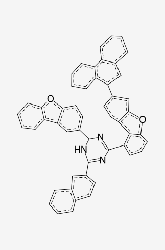 c1ccc2cc(C3=NC(c4cccc5oc6cc(-c7cc8ccccc8c8ccccc78)ccc6c45)=NC(c4ccc5oc6ccccc6c5c4)N3)ccc2c1